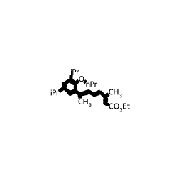 CCCOc1c(C(C)=CC=CC(C)=CC(=O)OCC)cc(C(C)C)cc1C(C)C